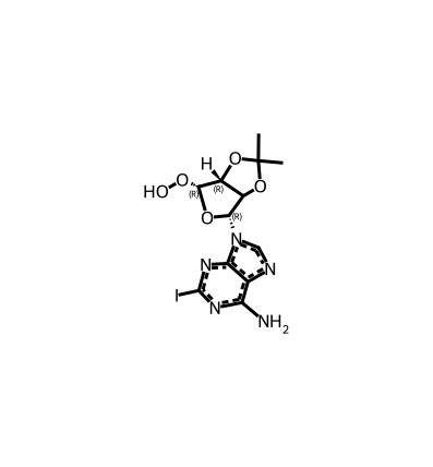 CC1(C)OC2[C@@H](O1)[C@@H](OO)O[C@H]2n1cnc2c(N)nc(I)nc21